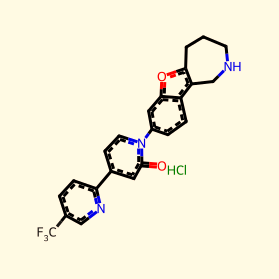 Cl.O=c1cc(-c2ccc(C(F)(F)F)cn2)ccn1-c1ccc2c3c(oc2c1)CCCNC3